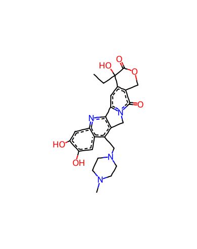 CCC1(O)C(=O)OCc2c1cc1n(c2=O)Cc2c-1nc1cc(O)c(O)cc1c2CN1CCN(C)CC1